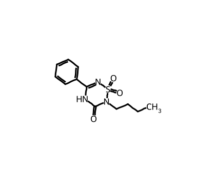 CCCCN1C(=O)NC(c2ccccc2)=NS1(=O)=O